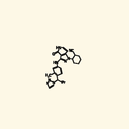 Cc1cc(Nc2nn(C3CCCCC3C#N)c3cc[nH]c(=O)c23)ccc1C(C(C)C)n1ccnn1